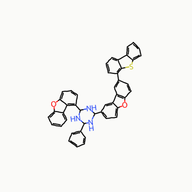 c1ccc(C2NC(c3ccc4oc5ccc(-c6cccc7c6sc6ccccc67)cc5c4c3)NC(c3cccc4oc5ccccc5c34)N2)cc1